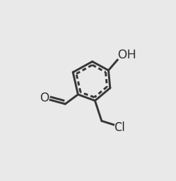 O=Cc1ccc(O)cc1CCl